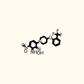 N=C1C([N+](=O)[O-])=CC=C(N2CCC(Oc3ccccc3C(F)(F)F)CC2)/C1=N/O